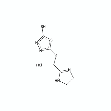 Cl.Sc1nnc(SCC2=NCCN2)s1